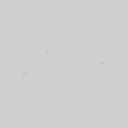 CC(=O)[N+]1(C2CCNCC2)CCC(N(Cc2ccc(N(C)c3ccncc3)cc2)c2nccc(-c3ccc(C(F)(F)F)cc3)n2)CC1